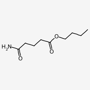 CCCCOC(=O)CCCC(N)=O